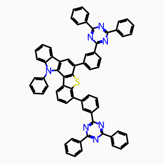 c1ccc(-c2nc(-c3ccccc3)nc(-c3cccc(-c4cccc5c4sc4c(-c6cccc(-c7nc(-c8ccccc8)nc(-c8ccccc8)n7)c6)cc6c7ccccc7n(-c7ccccc7)c6c45)c3)n2)cc1